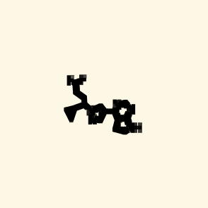 FC(F)=CCC(C1CC1)n1cc(-c2ncnc3[nH]ccc23)cn1